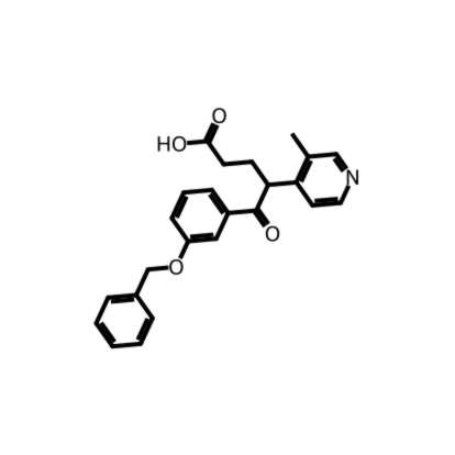 Cc1cnccc1C(CCC(=O)O)C(=O)c1cccc(OCc2ccccc2)c1